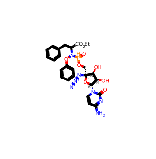 CCOC(=O)C(Cc1ccccc1)N(Oc1ccccc1)[PH](=O)OC[C@@]1(N=[N+]=[N-])O[C@@H](n2ccc(N)nc2=O)[C@H](O)[C@@H]1O